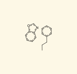 CCCc1ccccc1.c1ccc2ocnc2c1